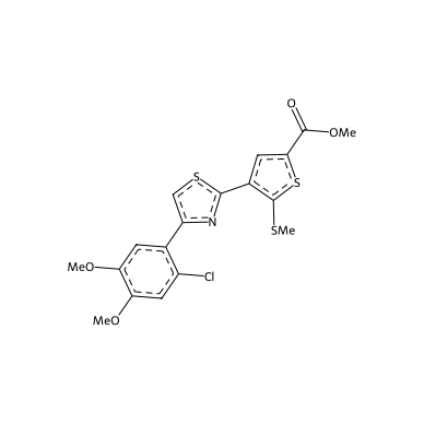 COC(=O)c1cc(-c2nc(-c3cc(OC)c(OC)cc3Cl)cs2)c(SC)s1